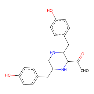 O=CC(=O)C1NC(Cc2ccc(O)cc2)CNC1Cc1ccc(O)cc1